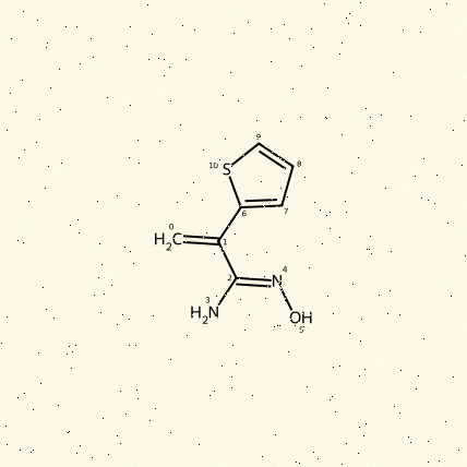 C=C(C(N)=NO)c1cccs1